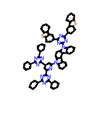 c1ccc(-c2nc(-c3ccccc3)nc(-c3cc(-c4nc(-c5ccccc5)nc(-c5ccccc5)n4)nc(-n4c5ccccc5c5c6c7ccccc7n(-c7nc(-c8ccc9sc%10ccccc%10c9c8)nc(-c8ccc9sc%10ccccc%10c9c8)n7)c6ccc54)c3)n2)cc1